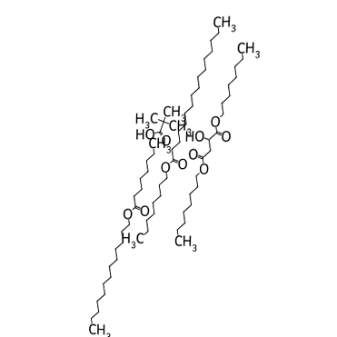 CC(C)(C)C(=O)O.CCCCCCCCCCCCCCCC(=O)OCCCCCCCC.CCCCCCCCCCCCCOC(=O)CCCCCCC.CCCCCCCCOC(=O)CC(O)C(=O)OCCCCCCCC